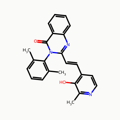 Cc1cccc(C)c1-n1c(/C=C/c2ccnc(C)c2O)nc2ccccc2c1=O